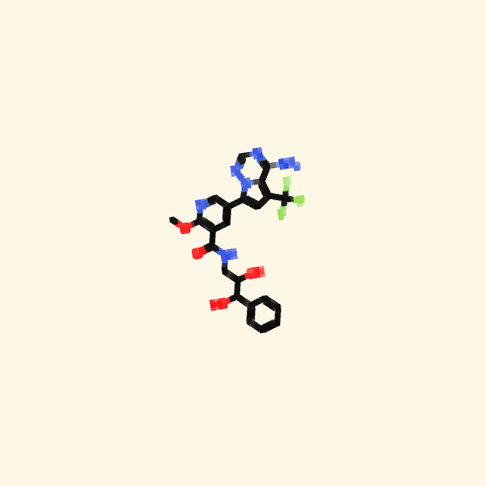 COc1ncc(-c2cc(C(F)(F)F)c3c(N)ncnn23)cc1C(=O)NCC(O)C(O)c1ccccc1